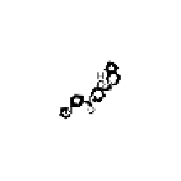 O=C(c1cccc(N2CCCC2)c1)N1CCC(O)(CN2CCc3ccccc3C2)CC1